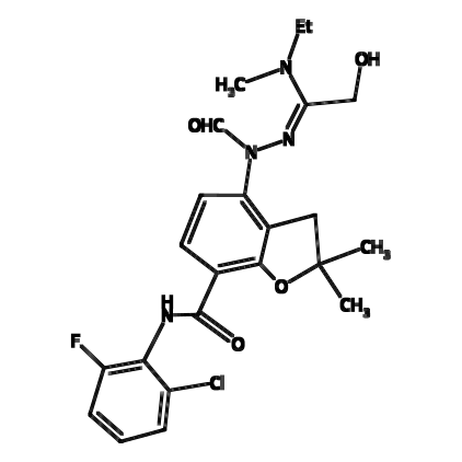 CCN(C)/C(CO)=N\N(C=O)c1ccc(C(=O)Nc2c(F)cccc2Cl)c2c1CC(C)(C)O2